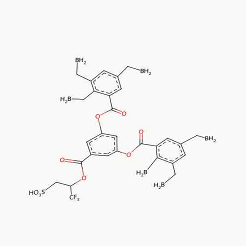 BCc1cc(CB)c(B)c(C(=O)Oc2cc(OC(=O)c3cc(CB)cc(CB)c3CB)cc(C(=O)OC(CS(=O)(=O)O)C(F)(F)F)c2)c1